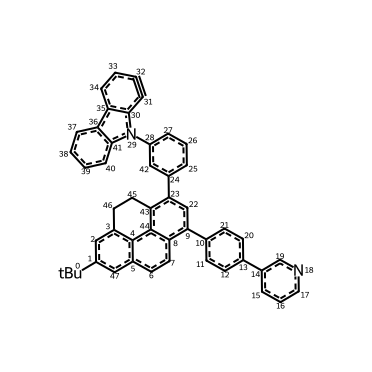 CC(C)(C)c1cc2c3c(ccc4c(-c5ccc(-c6cccnc6)cc5)cc(-c5cccc(-n6c7c#cccc7c7ccccc76)c5)c(c43)CC2)c1